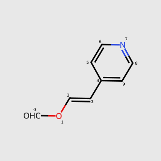 O=COC=Cc1ccncc1